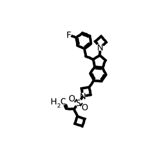 C=CC(C1CCC1)S(=O)(=O)N1CC(c2ccc3c(c2)C(Cc2cccc(F)c2)C(N2CCC2)C3)C1